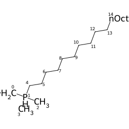 [CH2][PH](C)(C)CCCCCCCCCCCCCCCCCC